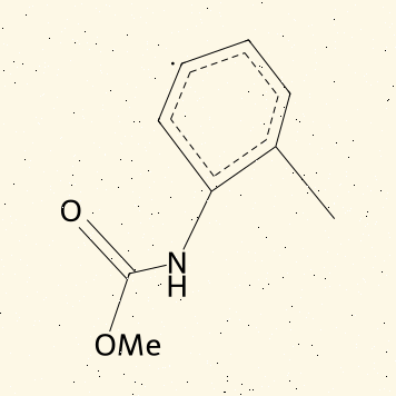 COC(=O)Nc1c[c]ccc1C